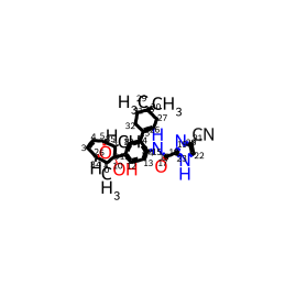 C[C@@H]1[C@@H]2C=C[C@@H](O2)[C@H](C)[C@@]1(O)c1ccc(NC(=O)c2nc(C#N)c[nH]2)c(C2=CCC(C)(C)CC2)c1